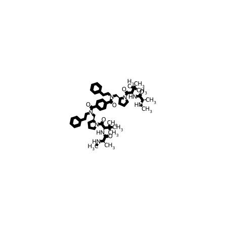 CN[C@@H](C)C(=O)N[C@H](C(=O)N1CCC[C@H]1CN(CCc1ccccc1)C(=O)c1ccc(C(=O)N(CCc2ccccc2)C[C@@H]2CCCN2C(=O)[C@@H](NC(=O)[C@H](C)NC)C(C)(C)C)cc1)C(C)(C)C